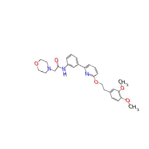 COc1ccc(CCOc2cccc(-c3cccc(NC(=O)CN4CCOCC4)c3)n2)cc1OC